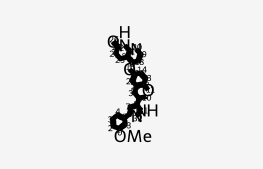 COc1cccc(-c2cc(C3COc4ccc(Oc5ccnc6c5CCC(=O)N6)cc4C3)[nH]n2)c1